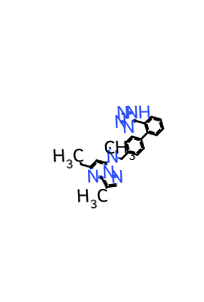 CCc1cc(N(C)Cc2ccc(-c3ccccc3-c3nnn[nH]3)cc2)n2ncc(C)c2n1